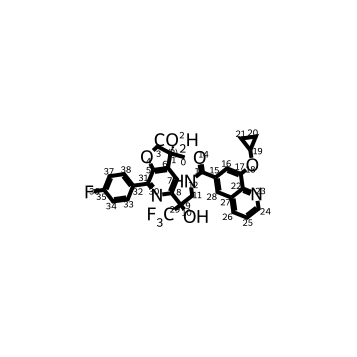 C[C@]1(C(=O)O)COc2c1cc(C(O)(CNC(=O)c1cc(OC3CC3)c3ncccc3c1)C(F)(F)F)nc2-c1ccc(F)cc1